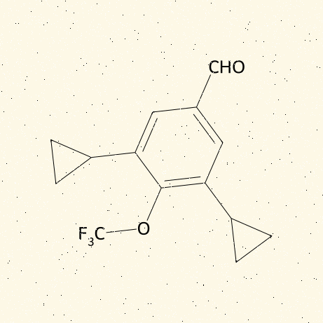 O=Cc1cc(C2CC2)c(OC(F)(F)F)c(C2CC2)c1